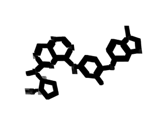 Cc1cc(Nc2ncnc3cnc(N(C)[C@H]4CCC[C@@H]4O)nc23)ccc1Oc1ccc2c(c1)ncn2C